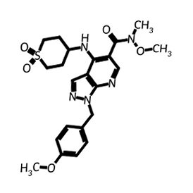 COc1ccc(Cn2ncc3c(NC4CCS(=O)(=O)CC4)c(C(=O)N(C)OC)cnc32)cc1